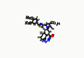 COc1ccc(-c2nc(-c3cc(C(=O)O)c(C)n3C(CCC(N)=O)CC3CCCCC3)cs2)cc1OC